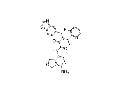 C[C@H](c1ncccc1F)N(Cc1ccc2scnc2c1)C(=O)C(=O)Nc1cnc(N)c2c1COC2